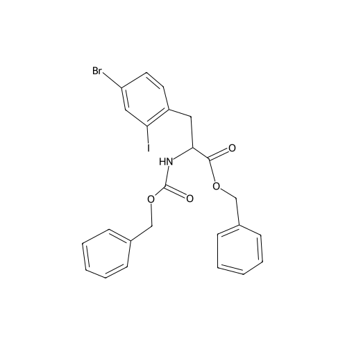 O=C(NC(Cc1ccc(Br)cc1I)C(=O)OCc1ccccc1)OCc1ccccc1